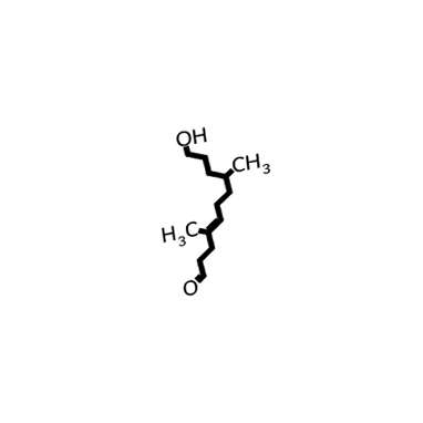 C/C(=C\CCC(C)CCCO)CCC=O